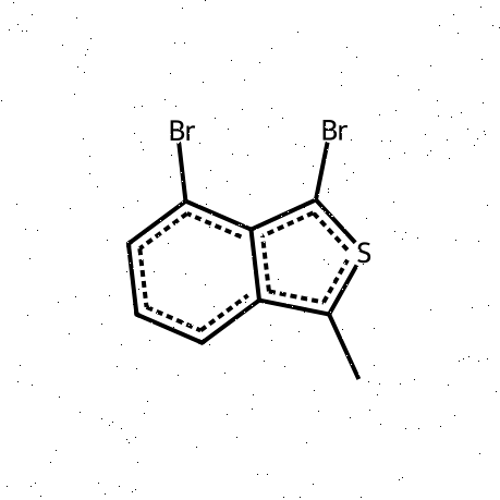 Cc1sc(Br)c2c(Br)cccc12